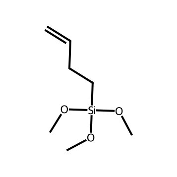 C=CCC[Si](OC)(OC)OC